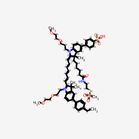 CCc1ccc(-c2ccc3c(c2)C(C)(C)C(/C=C/C=C/C=C/C=C2/N(CCCOCCOC)c4ccc(-c5ccc(S(=O)(=O)O)cc5)cc4C2(C)CCCCCC(=O)NCCSS(C)(=O)=O)=[N+]3CCOCCOC)cc1